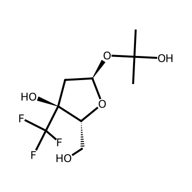 CC(C)(O)O[C@@H]1C[C@@](O)(C(F)(F)F)[C@@H](CO)O1